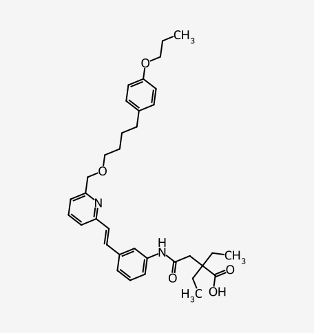 CCCOc1ccc(CCCCOCc2cccc(/C=C/c3cccc(NC(=O)CC(CC)(CC)C(=O)O)c3)n2)cc1